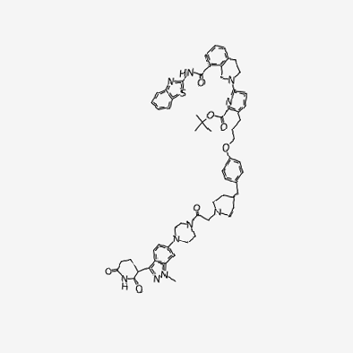 Cn1nc(C2CCC(=O)NC2=O)c2ccc(N3CCN(C(=O)CN4CCC(Cc5ccc(OCCCc6ccc(N7CCc8cccc(C(=O)Nc9nc%10ccccc%10s9)c8C7)nc6C(=O)OC(C)(C)C)cc5)CC4)CC3)cc21